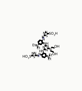 CCN(CC)c1ccc(/N=N/c2nnc(S(=O)(=O)O)s2)c(Nc2nc(Nc3cc(N(CC)CC)ccc3/N=N/c3nnc(S(=O)(=O)O)s3)nc(N(CCO)CCO)n2)c1